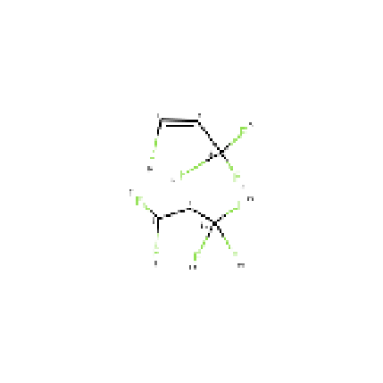 F/C=C\C(F)(F)F.FC(F)CC(F)(F)F